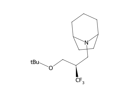 CC(C)(C)OC[C@@H](CN1C2CCCC1CC2)C(F)(F)F